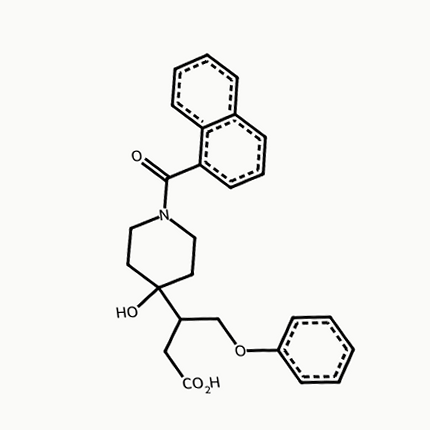 O=C(O)CC(COc1ccccc1)C1(O)CCN(C(=O)c2cccc3ccccc23)CC1